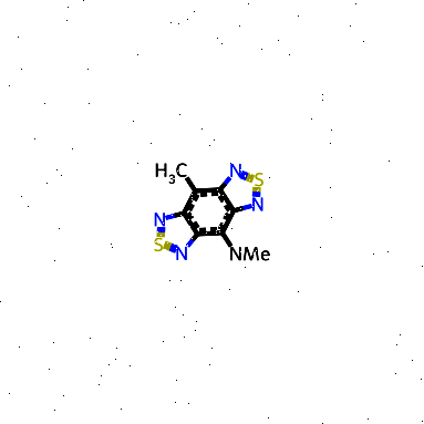 CNc1c2c(c(C)c3c1N=S=N3)N=S=N2